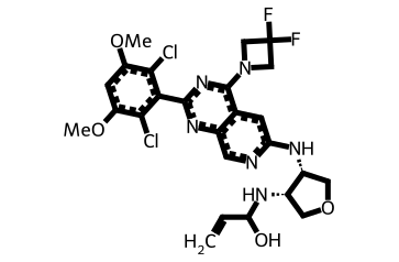 C=CC(O)N[C@H]1COC[C@H]1Nc1cc2c(N3CC(F)(F)C3)nc(-c3c(Cl)c(OC)cc(OC)c3Cl)nc2cn1